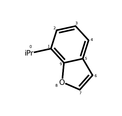 CC(C)c1cccc2ccoc12